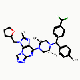 COc1ccc([C@H](c2ccc(C(F)F)cc2)N2C[C@H](C)N(c3nc4nncn4c4c3nc(C)n4CC3CCCO3)C[C@H]2C)cc1